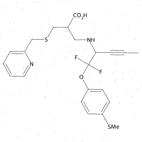 CC#CC(NCC(CSCc1ccccn1)C(=O)O)C(F)(F)Oc1ccc(SC)cc1